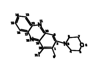 Cc1c(N2CCOCC2)cc2nc3ccccc3nc2c1I